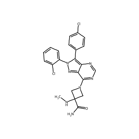 CNC1(C(N)=O)CN(c2ncnc3c(-c4ccc(Cl)cc4)n(-c4ccccc4Cl)nc23)C1